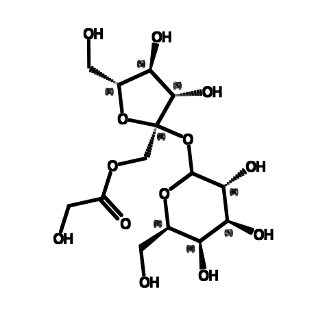 O=C(CO)OC[C@]1(OC2O[C@H](CO)[C@H](O)[C@H](O)[C@H]2O)O[C@H](CO)[C@@H](O)[C@@H]1O